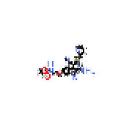 CC(C)(C)OC(=O)NCCOc1ccc(-c2c(C#N)c(N)nc(SCc3cccnc3)c2C#N)cc1